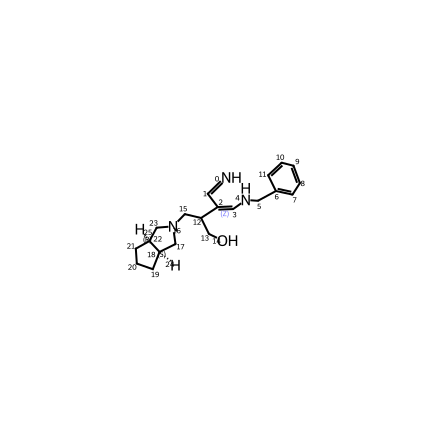 N=C/C(=C\NCc1ccccc1)C(CO)CN1C[C@H]2CCC[C@H]2C1